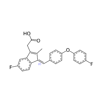 CC1=C(CC(=O)O)c2cc(F)ccc2/C1=C/c1ccc(Oc2ccc(F)cc2)cc1